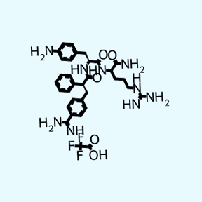 N=C(N)NCCCC(NC(=O)[C@H](Cc1ccc(N)cc1)NC(=O)[C@@H](Cc1ccc(C(=N)N)cc1)c1ccccc1)C(N)=O.O=C(O)C(F)(F)F